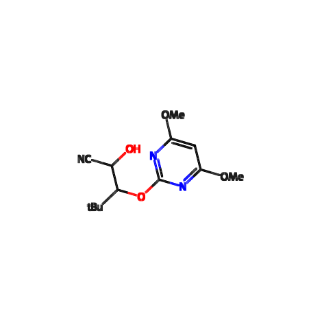 COc1cc(OC)nc(OC(C(O)C#N)C(C)(C)C)n1